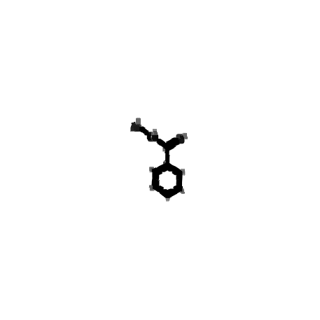 C[C](=O)[Co][C](=O)c1ccccc1